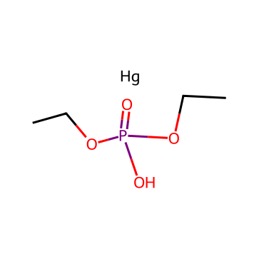 CCOP(=O)(O)OCC.[Hg]